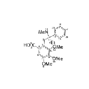 CC[C@](Cc1c(C(=O)O)cc(OC)c(OC)c1OC)(NC)c1ccccc1